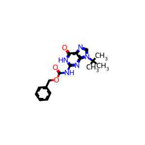 CC(C)(C)n1cnc2c(=O)[nH]c(NC(=O)OCc3ccccc3)nc21